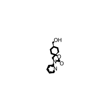 O=C1O[C@]2(CC[C@H](CO)CC2)CN1c1ccccn1